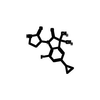 CC1(C)C(=O)N(C2CCNC2=O)c2c(F)cc(C3CC3)cc21